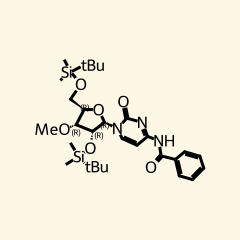 CO[C@H]1[C@@H](O[Si](C)(C)C(C)(C)C)[C@H](n2ccc(NC(=O)c3ccccc3)nc2=O)O[C@@H]1CO[Si](C)(C)C(C)(C)C